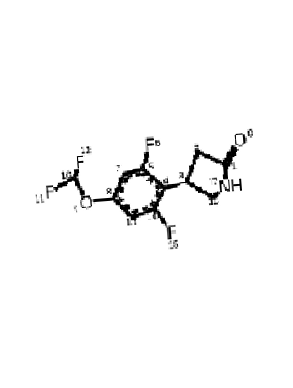 O=C1C[C@H](c2c(F)cc(OC(F)F)cc2F)CN1